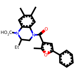 CCC1CN(C(=O)c2cc(-c3ccccc3)oc2C)c2cc(C)c(C)cc2N1C(=O)O